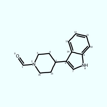 O=CN1CCC(c2c[nH]c3ccccc23)CC1